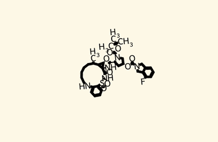 CC1CCCCCNc2ccccc2S(=O)(=O)NC(=O)[C@@]2(NC(=O)[C@@H]3C[C@@H](OC(=O)N4Cc5cccc(F)c5C4)CN3C(=O)OC(C)(C)C)CC12